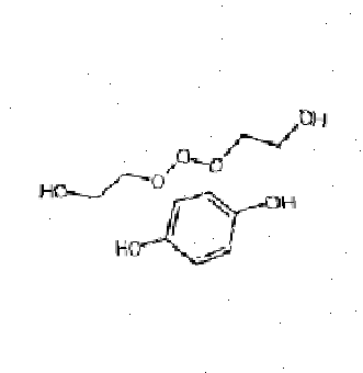 OCCOOOCCO.Oc1ccc(O)cc1